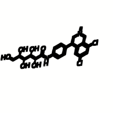 CN1Cc2c(Cl)cc(Cl)cc2C(c2ccc(NC(=O)[C@H](O)[C@@H](O)[C@H](O)[C@H](O)CO)cc2)C1